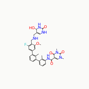 COc1cc(-c2cccc(-c3cccc(NC(=O)c4cn(C)c(=O)n(C)c4=O)c3C)c2C)cc(F)c1CNCC1=CNC(=O)NC1O